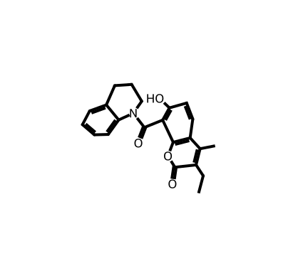 CCc1c(C)c2ccc(O)c(C(=O)N3CCCc4ccccc43)c2oc1=O